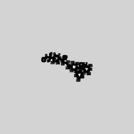 CC(C)(C=O)c1ccc(C(=O)CCCN2CCC(C(O)(c3ccccc3)c3ccccc3)CC2)cc1